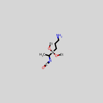 CCO[Si](CCCN)(OCC)C(C)N=C=O